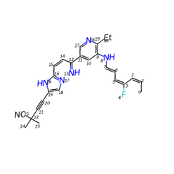 C\C=C/C(F)=C\C=C\Nc1cc(C(=N)/C=C\c2ncc(C#CC(C)(C)C#N)[nH]2)cnc1CC